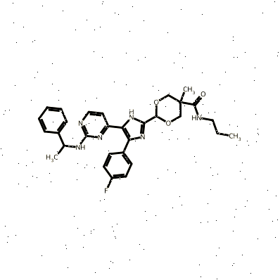 CCCNC(=O)C1(C)COC(c2nc(-c3ccc(F)cc3)c(-c3ccnc(NC(C)c4ccccc4)n3)[nH]2)OC1